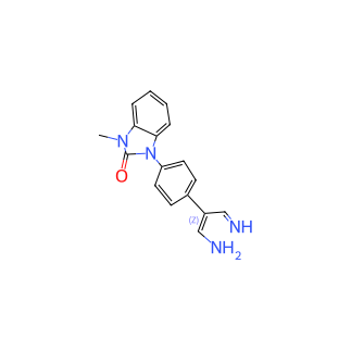 Cn1c(=O)n(-c2ccc(/C(C=N)=C/N)cc2)c2ccccc21